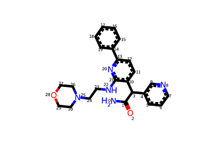 NC(=O)C(c1cccnc1)c1ccc(-c2ccccc2)nc1NCCN1CCOCC1